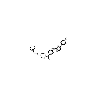 O=C(c1ccc(Nc2nccc(-c3ccc(Cl)cc3)n2)cc1)N1CCN(CCCN2CCOCC2)CC1